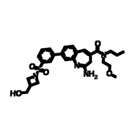 CCCN(CCOC)C(=O)C1=Cc2ccc(-c3cccc(S(=O)(=O)N4CC(CO)C4)c3)cc2N=C(N)C1